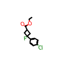 CCOC(=O)C1CC(F)(c2ccc(Cl)cc2)C1